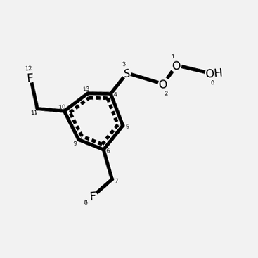 OOOSc1cc(CF)cc(CF)c1